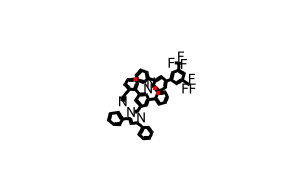 N#Cc1ccccc1-c1cc(-c2nc(-c3ccccc3)cc(-c3ccccc3)n2)cc(-c2ccccc2C#N)c1-n1c2ccccc2c2cc(-c3cc(C(F)(F)F)cc(C(F)(F)F)c3)ccc21